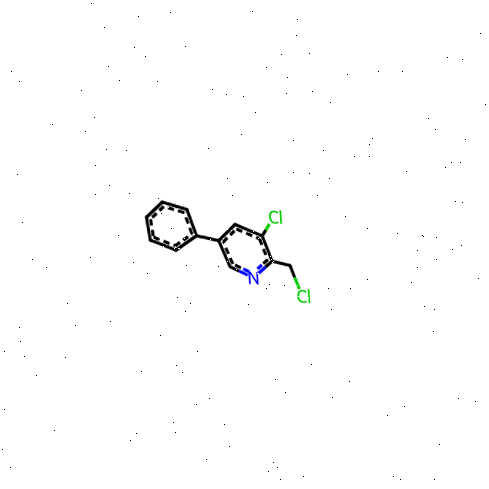 ClCc1ncc(-c2ccccc2)cc1Cl